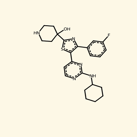 OC1(c2nc(-c3cccc(F)c3)c(-c3ccnc(NC4CCCCC4)n3)s2)CCNCC1